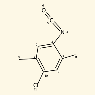 Cc1cc(N=C=O)c(C)cc1Cl